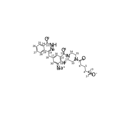 C[Si](C)([O-])CCCC(=O)N1CCN(C(=O)c2cc(Cc3n[nH]c(=O)c4ccccc34)ccc2F)CC1.[Na+]